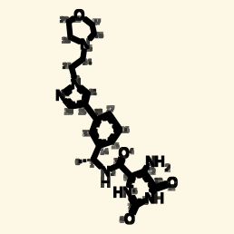 C[C@@H](NC(=O)c1[nH]c(=O)[nH]c(=O)c1N)c1cccc(-c2cnn(CCN3CCOCC3)c2)c1